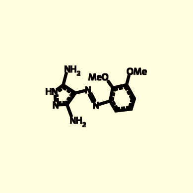 COc1cccc(N=Nc2c(N)n[nH]c2N)c1OC